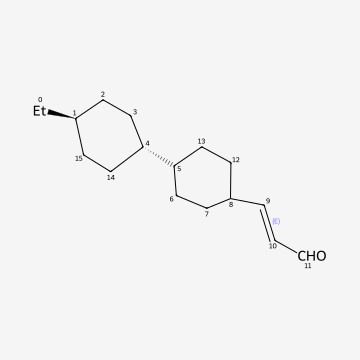 CC[C@H]1CC[C@H](C2CCC(/C=C/C=O)CC2)CC1